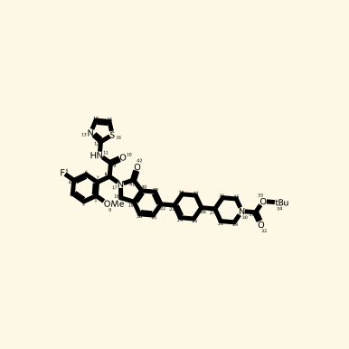 COc1ccc(F)cc1C(C(=O)Nc1nccs1)N1Cc2ccc(C3=CCC(C4CCN(C(=O)OC(C)(C)C)CC4)CC3)cc2C1=O